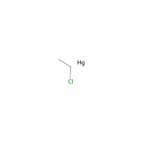 CCCl.[Hg]